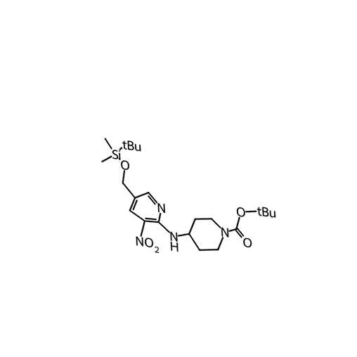 CC(C)(C)OC(=O)N1CCC(Nc2ncc(CO[Si](C)(C)C(C)(C)C)cc2[N+](=O)[O-])CC1